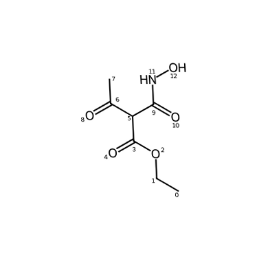 CCOC(=O)C(C(C)=O)C(=O)NO